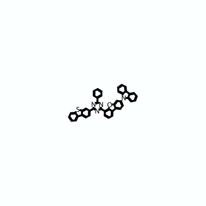 c1ccc(-c2nc(-c3ccc4c(c3)sc3ccccc34)nc(-c3cccc4c3oc3cc(-n5c6ccccc6c6ccccc65)ccc34)n2)cc1